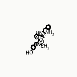 CC(=O)NC(Cc1ccc(O)cc1)C(=O)N1CCCC1C(=O)NC(Cc1ccccc1)C(N)=O